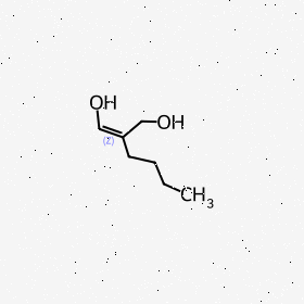 CCCC/C(=C/O)CO